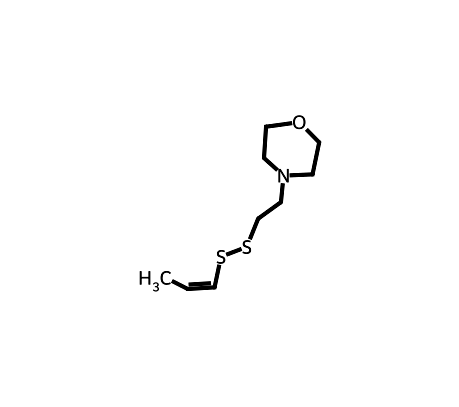 C/C=C\SSCCN1CCOCC1